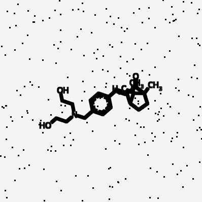 CC12CCC(C(=Cc3ccc(CN(CCO)CCO)cc3)C1=O)C2(C)C